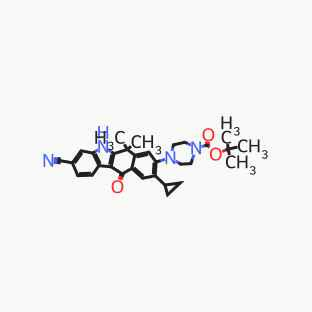 CC(C)(C)OC(=O)N1CCN(c2cc3c(cc2C2CC2)C(=O)c2c([nH]c4cc(C#N)ccc24)C3(C)C)CC1